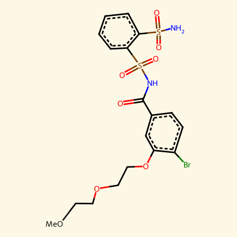 COCCOCCOc1cc(C(=O)NS(=O)(=O)c2ccccc2S(N)(=O)=O)ccc1Br